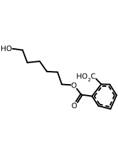 O=C(O)c1ccccc1C(=O)OCCCCCCO